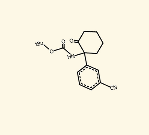 CC(C)(C)OC(=O)NC1(c2cccc(C#N)c2)CCCCC1=O